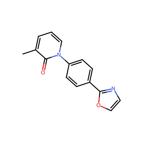 Cc1cccn(-c2ccc(-c3ncco3)cc2)c1=O